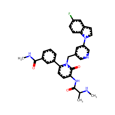 CNC(=O)c1cccc(-c2ccc(NC(=O)C(C)NC)c(=O)n2Cc2cncc(-n3ccc4cc(F)ccc43)c2)c1